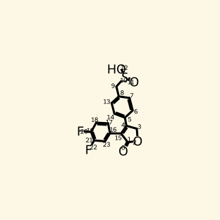 O=C1OCC(c2ccc(CS(=O)O)cc2)=C1c1ccc(F)c(F)c1